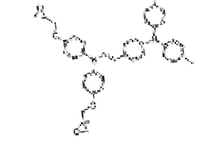 Cc1ccc(N(c2ccc(C)cc2)c2ccc(C=NN(c3ccc(OCC4CO4)cc3)c3ccc(OC[C@H]4CO4)cc3)cc2)cc1